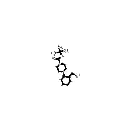 CC(C)(C)OC(=O)N1CCN(C2CCCCC2CO)CC1